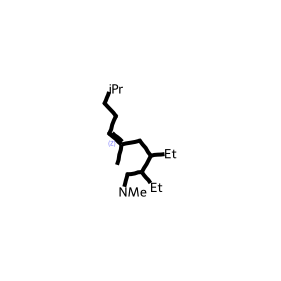 CCC(CNC)C(CC)C/C(C)=C\CCC(C)C